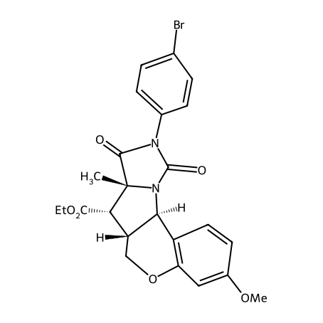 CCOC(=O)[C@H]1[C@H]2COc3cc(OC)ccc3[C@@H]2N2C(=O)N(c3ccc(Br)cc3)C(=O)[C@@]12C